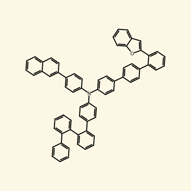 c1ccc(-c2ccccc2-c2ccccc2-c2ccc(N(c3ccc(-c4ccc(-c5ccccc5-c5cc6ccccc6o5)cc4)cc3)c3ccc(-c4ccc5ccccc5c4)cc3)cc2)cc1